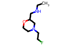 CCNCC1CN(CCF)CCO1